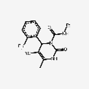 CCNC(=O)N1C(=O)NC(C)=C(C#N)C1c1ccccc1C(F)(F)F